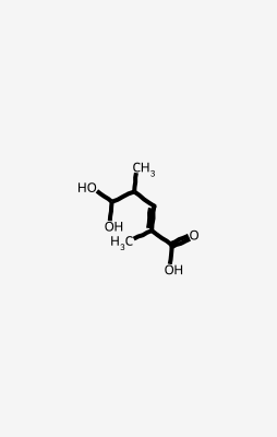 C/C(=C\C(C)C(O)O)C(=O)O